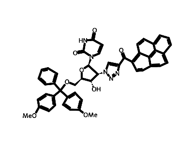 COc1ccc(C(OC[C@H]2O[C@@H](n3ccc(=O)[nH]c3=O)[C@H](n3cc(C(=O)c4ccc5ccc6cccc7ccc4c5c67)nn3)[C@@H]2O)(c2ccccc2)c2ccc(OC)cc2)cc1